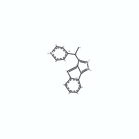 CC(C1=NN=C2C1=Cc1ccccc12)c1ccncc1